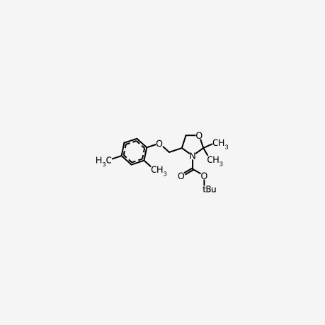 Cc1ccc(OCC2COC(C)(C)N2C(=O)OC(C)(C)C)c(C)c1